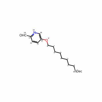 CCCCCCCCCCCCCCCCCCOc1ccc(C=O)nc1